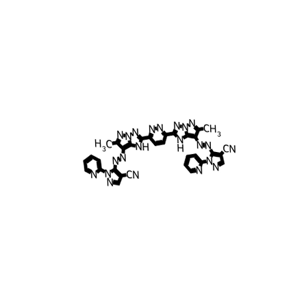 Cc1nn2nc(-c3ccc(-c4nn5nc(C)c(/N=N/c6c(C#N)cnn6-c6ccccn6)c5[nH]4)nn3)[nH]c2c1/N=N/c1c(C#N)cnn1-c1ccccn1